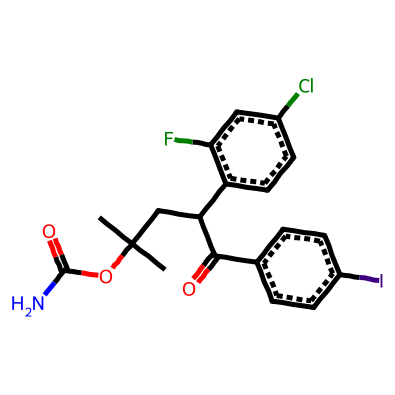 CC(C)(CC(C(=O)c1ccc(I)cc1)c1ccc(Cl)cc1F)OC(N)=O